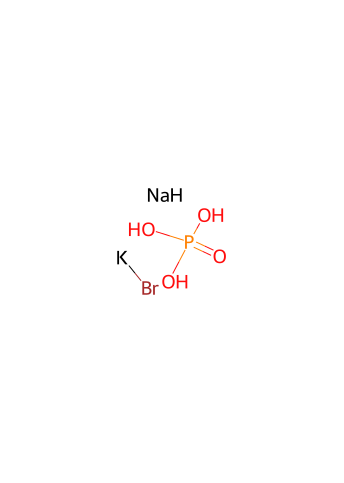 O=P(O)(O)O.[K][Br].[NaH]